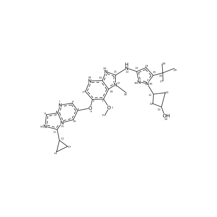 COc1c(Oc2cnc3cnc(C4CC4)n3c2)cnc2nc(Nc3cc(C(C)(C)C)n(C4CC(O)C4)n3)n(C)c12